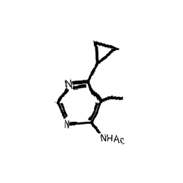 CC(=O)Nc1n[c]nc(C2CC2)c1C